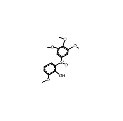 COc1cccc([S+]([O-])c2cc(OC)c(OC)c(OC)c2)c1O